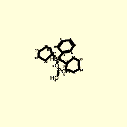 OP(O)[O][BiH]([c]1ccccc1)([CH]1CCCCC1)[CH]1CCCCC1